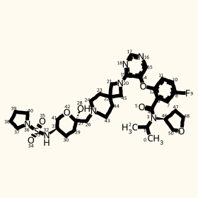 CC(C)N(C(=O)c1cc(F)ccc1Oc1cncnc1N1CC2(CCN(C[C@@]3(O)CC[C@@H](NS(=O)(=O)N4CCCC4)CO3)CC2)C1)[C@H]1CCOC1